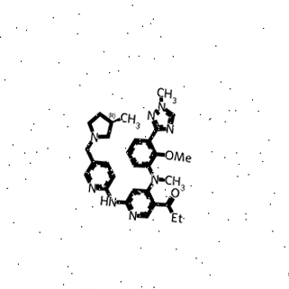 CCC(=O)c1cnc(Nc2ccc(CN3CC[C@@H](C)C3)cn2)cc1N(C)c1cccc(-c2ncn(C)n2)c1OC